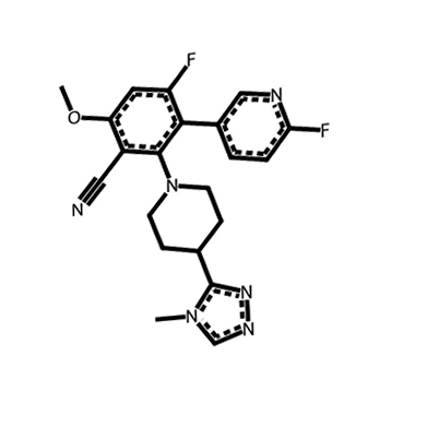 COc1cc(F)c(-c2ccc(F)nc2)c(N2CCC(c3nncn3C)CC2)c1C#N